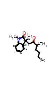 CC(=O)CCCC(C)C(=O)CC1(C)C(=O)N(C)c2ccccc21